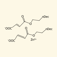 CCCCCCCCCCCCOC(=O)/C=C/C(=O)[O-].CCCCCCCCCCCCOC(=O)/C=C/C(=O)[O-].[Zn+2]